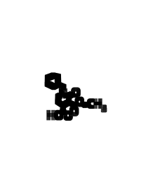 CCOC(=O)c1c(C(=O)O)ccn(Cc2ccccc2)c1=O